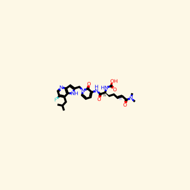 CC(C)Cc1c(F)cnc2cc(Cn3cccc(NC(=O)[C@H](CC/C=C/C(=O)N(C)C)NC(=O)O)c3=O)[nH]c12